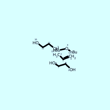 C=CC.CCCCOCCCC.OCCO.OCCO